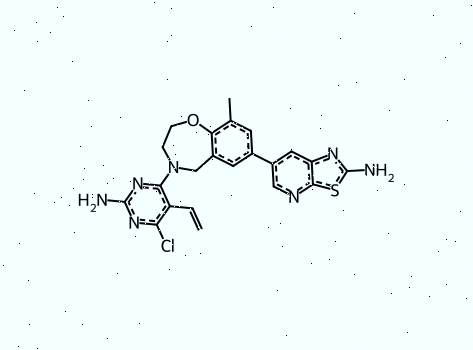 C=Cc1c(Cl)nc(N)nc1N1CCOc2c(C)cc(-c3cnc4sc(N)nc4c3)cc2C1